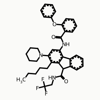 CCCCCc1c(N2CCCCC2)cc(NC(=O)c2ccccc2Oc2ccccc2)c2c1C(C(=O)NCC(F)(F)F)c1ccccc1-2